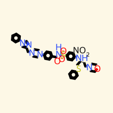 O=C(NS(=O)(=O)c1ccc(N[C@H](CCN2CCOCC2)CSc2ccccc2)c([N+](=O)[O-])c1)c1ccc(N2CCN(Cc3cn(-c4ccccc4)cn3)CC2)cc1